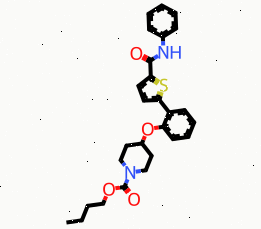 CCCCOC(=O)N1CCC(Oc2ccccc2-c2ccc(C(=O)Nc3ccccc3)s2)CC1